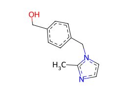 Cc1nccn1Cc1ccc(CO)cc1